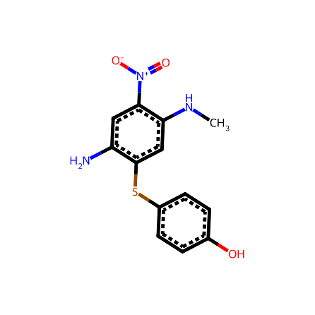 CNc1cc(Sc2ccc(O)cc2)c(N)cc1[N+](=O)[O-]